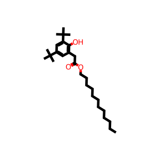 CCCCCCCCCCCCOC(=O)Cc1cc(C(C)(C)C)cc(C(C)(C)C)c1O